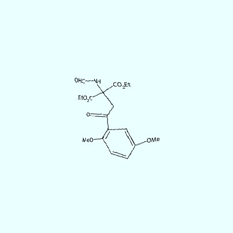 CCOC(=O)C(CC(=O)c1cc(OC)ccc1OC)(NC=O)C(=O)OCC